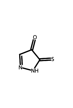 O=C1C=NNC1=S